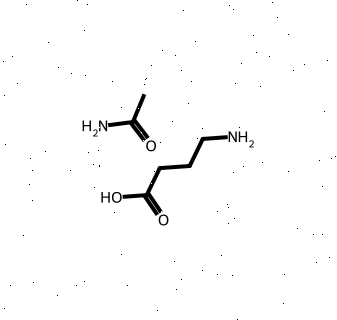 CC(N)=O.NCCCC(=O)O